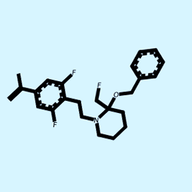 C=C(C)c1cc(F)c(CCN2CCCCC2(CF)OCc2ccccc2)c(F)c1